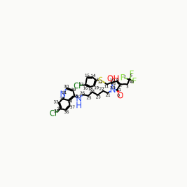 O=C1C(CC(F)(F)F)=CC(O)(CSc2ccc(Cl)cc2)N1CCCCCCNc1ccnc2cc(Cl)ccc12